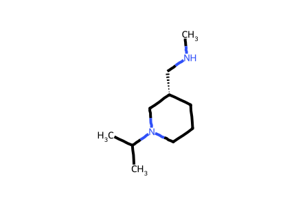 CNC[C@@H]1CCCN(C(C)C)C1